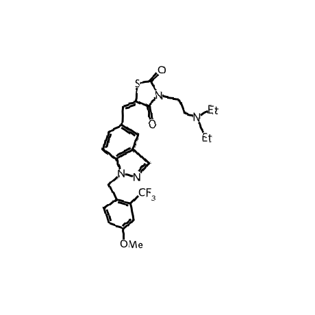 CCN(CC)CCN1C(=O)SC(=Cc2ccc3c(cnn3Cc3ccc(OC)cc3C(F)(F)F)c2)C1=O